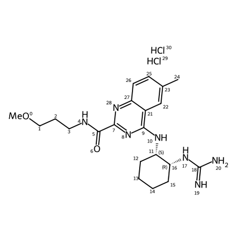 COCCCNC(=O)c1nc(N[C@H]2CCCC[C@H]2NC(=N)N)c2cc(C)ccc2n1.Cl.Cl